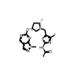 CC(=O)Nc1nc(F)c(CN2C[C@H](Oc3ncc4cnn(C)c4n3)C[C@@H]2C)s1